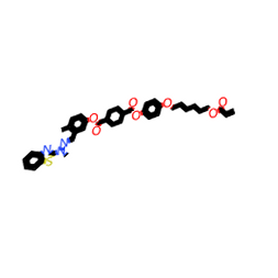 C=CC(=O)OCCCCCCOc1ccc(OC(=O)C2CCC(C(=O)Oc3ccc(C)c(/C=N/N(C)c4nc5ccccc5s4)c3)CC2)cc1